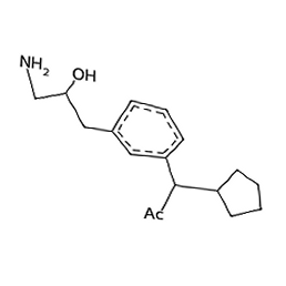 CC(=O)C(c1cccc(CC(O)CN)c1)C1CCCC1